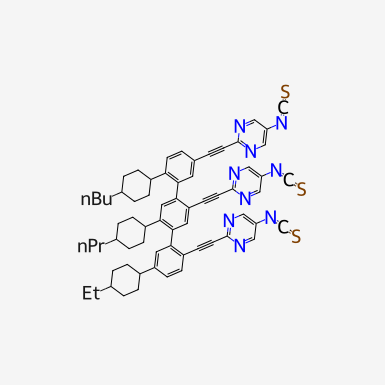 CCCCC1CCC(c2ccc(C#Cc3ncc(N=C=S)cn3)cc2-c2cc(C3CCC(CCC)CC3)c(-c3cc(C4CCC(CC)CC4)ccc3C#Cc3ncc(N=C=S)cn3)cc2C#Cc2ncc(N=C=S)cn2)CC1